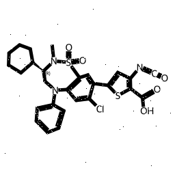 CN1[C@H](C2CCCCC2)CN(c2ccccc2)c2cc(Cl)c(-c3cc(N=C=O)c(C(=O)O)s3)cc2S1(=O)=O